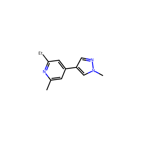 CCc1cc(-c2cnn(C)c2)cc(C)n1